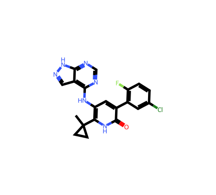 CC1(c2[nH]c(=O)c(-c3cc(Cl)ccc3F)cc2Nc2ncnc3[nH]ncc23)CC1